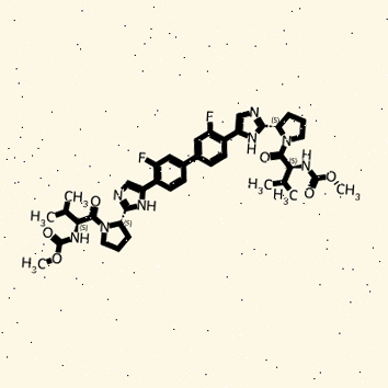 COC(=O)N[C@H](C(=O)N1CCC[C@H]1c1ncc(-c2ccc(-c3ccc(-c4cnc([C@@H]5CCCN5C(=O)[C@@H](NC(=O)OC)C(C)C)[nH]4)c(F)c3)cc2F)[nH]1)C(C)C